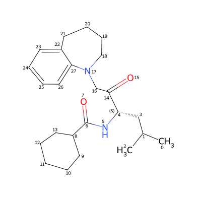 CC(C)C[C@H](NC(=O)C1CCCCC1)C(=O)CN1CCCCc2ccccc21